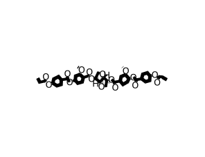 C=CC(=O)Oc1ccc(C(=O)Oc2ccc(C(=O)O[C@H]3CO[C@H]4[C@@H]3OC[C@H]4OC(=O)c3ccc(OC(=O)c4ccc(OC(=O)C=C)cc4)c(OC)c3)c(OC)c2)cc1